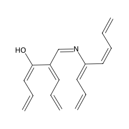 C=C\C=C/C(=C\C=C)/N=C\C(=C\C=C)C(\O)=C/C=C